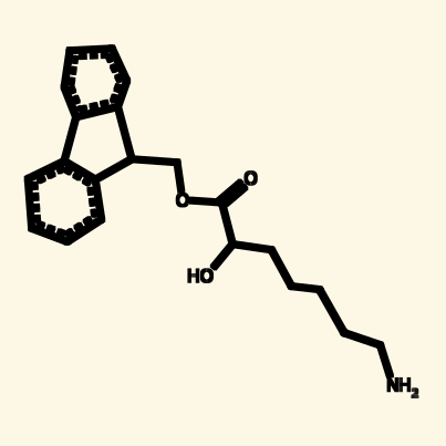 NCCCCCC(O)C(=O)OCC1c2ccccc2-c2ccccc21